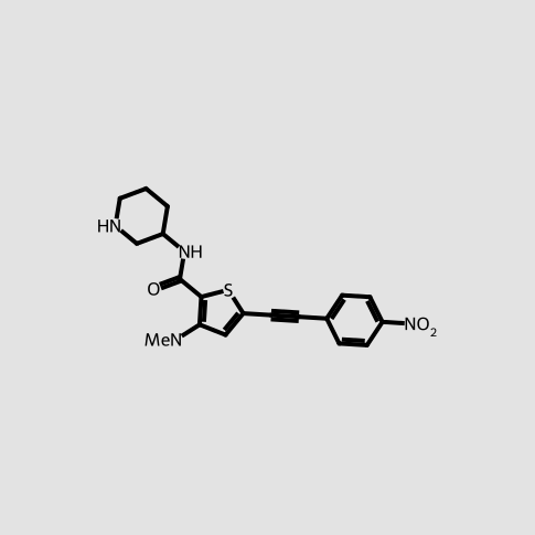 CNc1cc(C#Cc2ccc([N+](=O)[O-])cc2)sc1C(=O)NC1CCCNC1